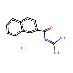 Cl.NC(N)=NC(=O)c1ccc2ccccc2c1